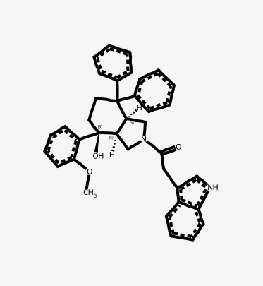 COc1ccccc1[C@]1(O)CCC(c2ccccc2)(c2ccccc2)[C@H]2CN(C(=O)Cc3c[nH]c4ccccc34)C[C@H]21